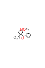 CCO.O=C(c1ccccc1)c1ccccc1[N+](=O)[O-]